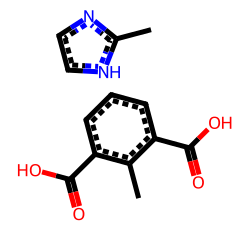 Cc1c(C(=O)O)cccc1C(=O)O.Cc1ncc[nH]1